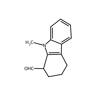 Cn1c2c(c3ccccc31)CCCC2C=O